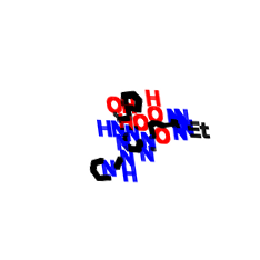 CCn1nnc([C@H]2O[C@@H](n3cnc4c(NCCN5CCCCC5)nc(N[C@H](CO)Cc5ccccc5)nc43)[C@H](O)[C@@H]2O)n1